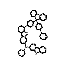 c1ccc(-c2ccc(C3(c4ccc(-c5cccc6c5oc5cc(N(c7ccccc7)c7ccc8c(c7)sc7ccccc78)ccc56)cc4)c4ccccc4-c4ccccc43)cc2)cc1